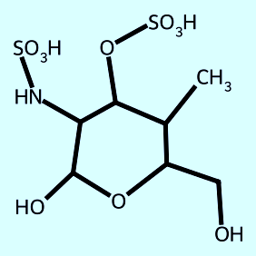 CC1C(CO)OC(O)C(NS(=O)(=O)O)C1OS(=O)(=O)O